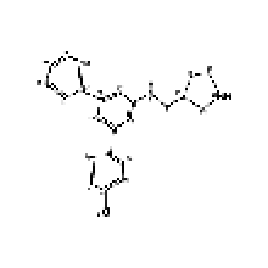 Clc1ccc(-c2cc(NCC3CCNC3)nc(-c3cccnc3)n2)cc1